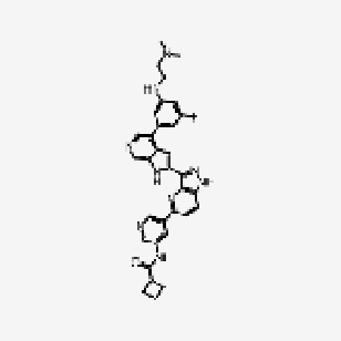 CN(C)CCNc1cc(F)cc(-c2cncc3[nH]c(-c4n[nH]c5ccc(-c6cncc(NC(=O)C7CCC7)c6)nc45)cc23)c1